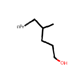 CCCCC(C)CCCO